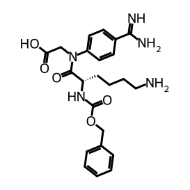 N=C(N)c1ccc(N(CC(=O)O)C(=O)[C@H](CCCCN)NC(=O)OCc2ccccc2)cc1